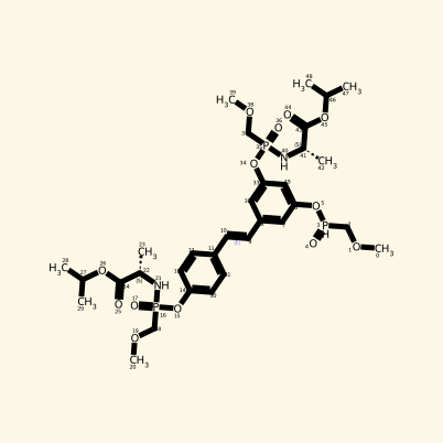 COC[PH](=O)Oc1cc(/C=C/c2ccc(OP(=O)(COC)N[C@@H](C)C(=O)OC(C)C)cc2)cc(OP(=O)(COC)N[C@@H](C)C(=O)OC(C)C)c1